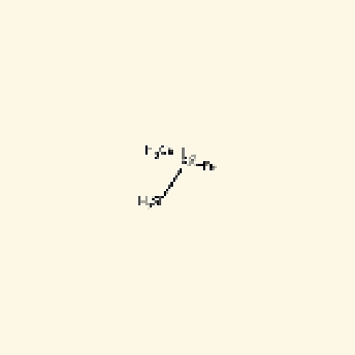 [CaH2].[SiH3][SiH2][Fe]